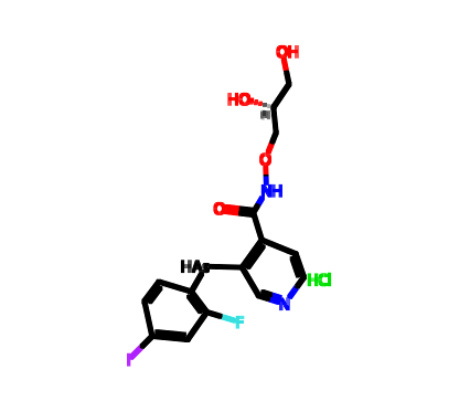 Cl.O=C(NOC[C@H](O)CO)c1ccncc1[AsH]c1ccc(I)cc1F